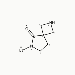 CCN1CCC2(CNC2)C1=O